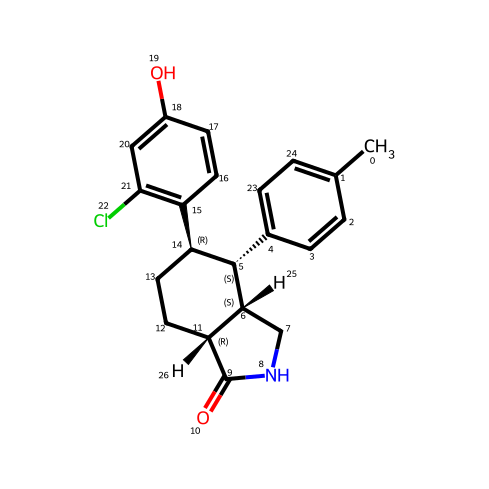 Cc1ccc([C@@H]2[C@@H]3CNC(=O)[C@@H]3CC[C@H]2c2ccc(O)cc2Cl)cc1